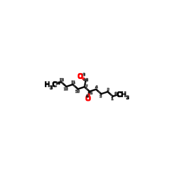 CCCCCC(=O)C(C=O)CCCCC